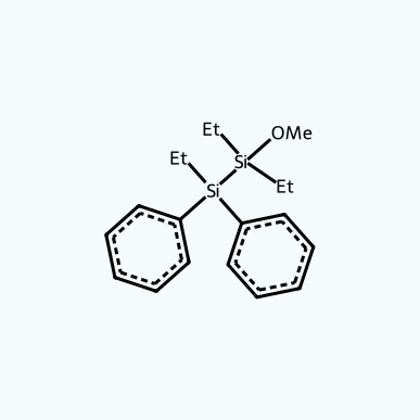 CC[Si](CC)(OC)[Si](CC)(c1ccccc1)c1ccccc1